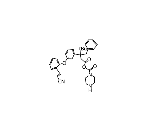 CC(C)(C)C(CC(=O)OC(=O)N1CCNCC1)(Cc1ccccc1)c1cccc(Oc2ccccc2C=CC#N)c1